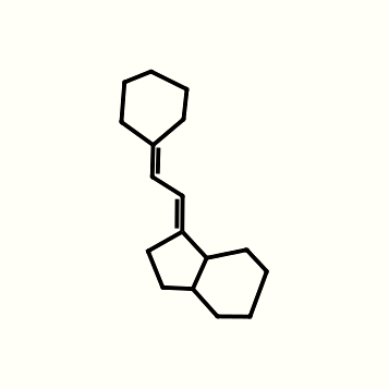 C(C=C1CCC2CCCCC12)=C1CCCCC1